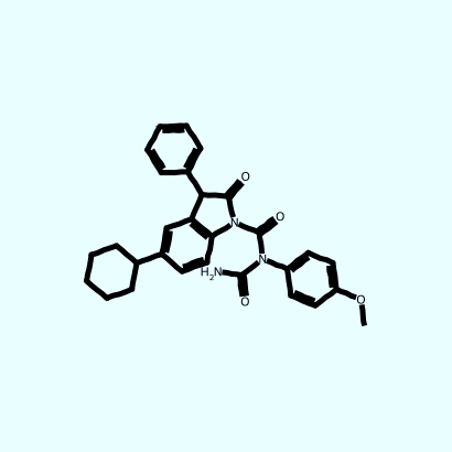 COc1ccc(N(C(N)=O)C(=O)N2C(=O)C(c3cc[c]cc3)c3cc(C4CCCCC4)ccc32)cc1